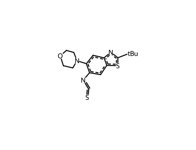 CC(C)(C)c1nc2cc(N3CCOCC3)c(N=C=S)cc2s1